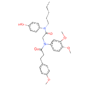 CCCCCN(C(=O)CN(C(=O)CCc1ccc(OC)cc1)c1ccc(OC)c(OC)c1)c1ccc(O)cc1